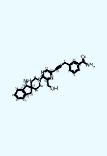 NC(=O)c1cccc(CC#Cc2cnc(N3CCC4(CC3)Cc3ccccc3[C@H]4N)c(CO)n2)c1